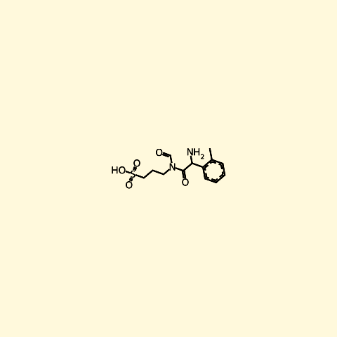 Cc1ccccc1C(N)C(=O)N(C=O)CCCS(=O)(=O)O